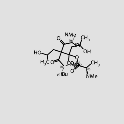 CC[C@@H](C)[C@@H](NC)C(=O)C(CC(C)O)(C(=O)[C@H](NC)C(C)C)C(CC(C)O)(OC(=O)[C@@H](C)NC)C(=O)O